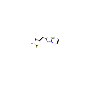 CCN1C(=O)/C(=C/C2Cc3nccnc3S2)SC1=S